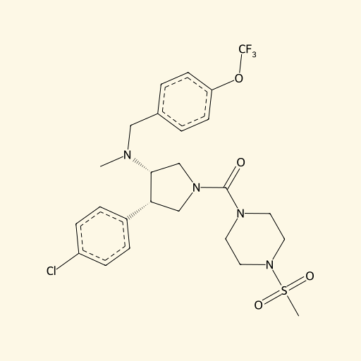 CN(Cc1ccc(OC(F)(F)F)cc1)[C@@H]1CN(C(=O)N2CCN(S(C)(=O)=O)CC2)C[C@@H]1c1ccc(Cl)cc1